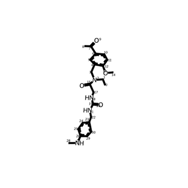 CCN(Cc1cc(C(C)=O)ccc1OC)C(=O)CNC(=O)NCc1ccc(NC)cc1